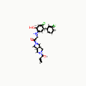 C=CC(=O)N1CC2CN(C(=O)CNc3cc(-c4cccc(Cl)c4)c(Cl)cc3O)CC2C1